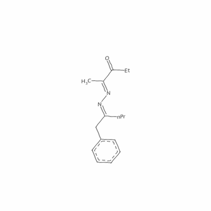 CCC/C(Cc1ccccc1)=N\N=C(/C)C(=O)CC